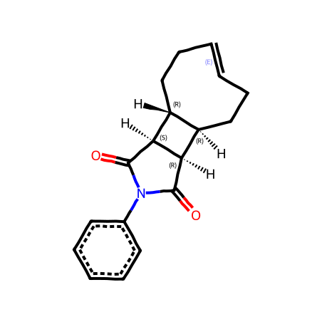 O=C1[C@@H]2[C@@H]3CC/C=C/CC[C@H]3[C@@H]2C(=O)N1c1ccccc1